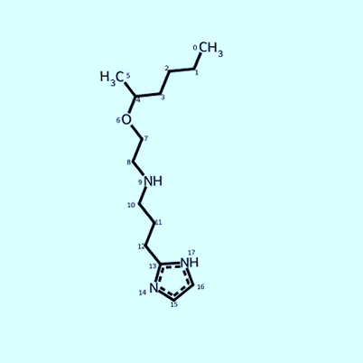 CCCCC(C)OCCNCCCc1ncc[nH]1